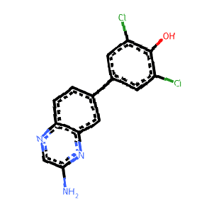 Nc1cnc2ccc(-c3cc(Cl)c(O)c(Cl)c3)cc2n1